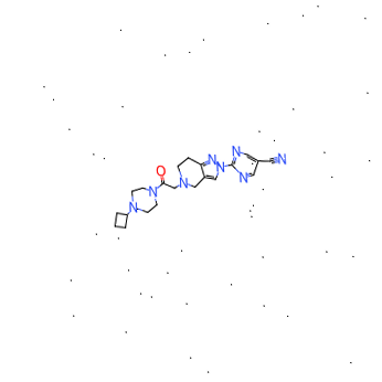 N#Cc1cnc(-n2cc3c(n2)CCN(CC(=O)N2CCN(C4CCC4)CC2)C3)nc1